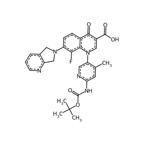 Cc1cc(NC(=O)OC(C)(C)C)ncc1-n1cc(C(=O)O)c(=O)c2ccc(N3Cc4cccnc4C3)c(F)c21